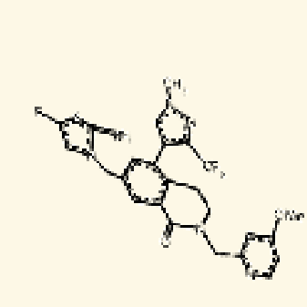 COc1ccnc(CN2CCc3c(cc(Cn4cc(F)sc4=N)cc3-c3cn(C)nc3C(F)(F)F)C2=O)c1